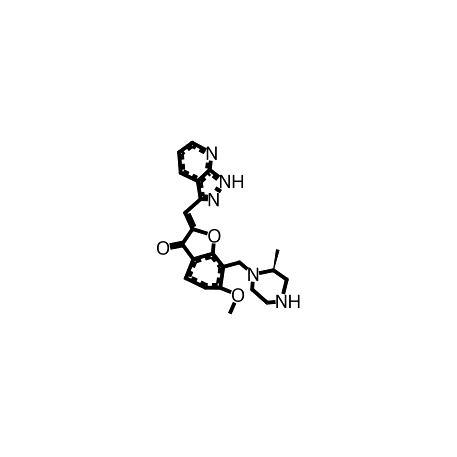 COc1ccc2c(c1CN1CCNC[C@@H]1C)OC(=Cc1n[nH]c3ncccc13)C2=O